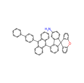 Nc1ccc2c(c1)-c1c(-c3c4ccccc4c(-c4ccc(-c5ccccc5)cc4)c4ccccc34)cccc1C21c2ccccc2Oc2ccccc21